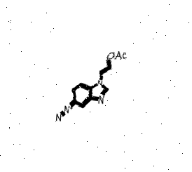 CC(=O)OCCn1cnc2c1=CCC(=[N+]=[N-])C=2